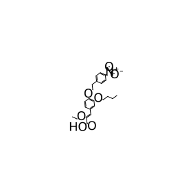 CCCCOc1cc(C=C(OCC)C(=O)O)ccc1OCCc1ccc([N+](=O)[O-])cc1